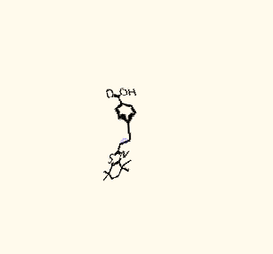 CC1(C)CCC(C)(C)c2sc(/C=C/c3ccc(C(=O)O)cc3)nc21